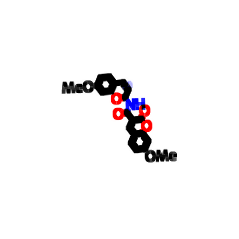 COc1ccc(/C=C\C(=O)NC(=O)c2cc3ccc(OC)cc3oc2=O)cc1